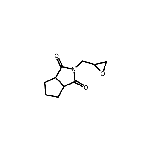 O=C1C2CCCC2C(=O)N1CC1CO1